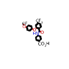 O=C(O)C1=CCC(NC(=O)c2ccc(C(F)(F)F)cc2Oc2ccc(OC(F)(F)F)cc2)C=C1